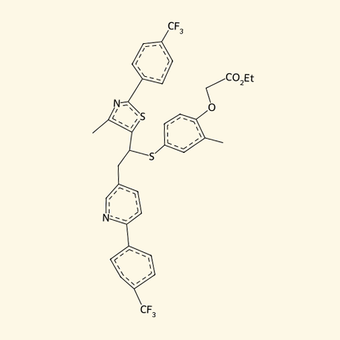 CCOC(=O)COc1ccc(SC(Cc2ccc(-c3ccc(C(F)(F)F)cc3)nc2)c2sc(-c3ccc(C(F)(F)F)cc3)nc2C)cc1C